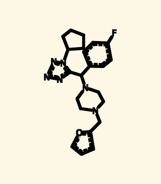 Fc1ccc(C(c2nnnn2C2CCCC2)N2CCN(Cc3ccco3)CC2)cc1